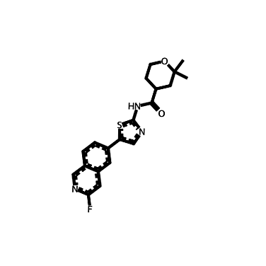 CC1(C)CC(C(=O)Nc2ncc(-c3ccc4cnc(F)cc4c3)s2)CCO1